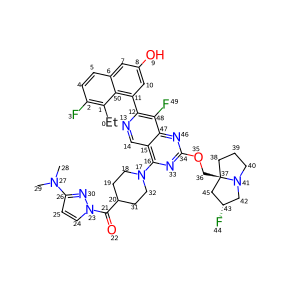 CCc1c(F)ccc2cc(O)cc(-c3ncc4c(N5CCC(C(=O)n6ccc(N(C)C)n6)CC5)nc(OC[C@@]56CCCN5C[C@H](F)C6)nc4c3F)c12